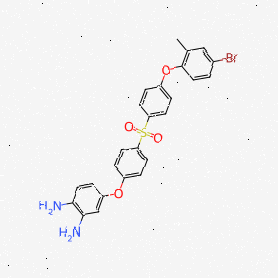 Cc1cc(Br)ccc1Oc1ccc(S(=O)(=O)c2ccc(Oc3ccc(N)c(N)c3)cc2)cc1